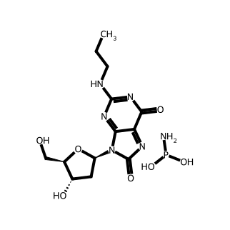 CCCNC1=NC(=O)C2=NC(=O)N([C@H]3C[C@H](O)[C@@H](CO)O3)C2=N1.NP(O)O